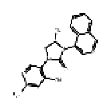 N#Cc1cc(C(F)(F)F)ncc1N1C[C@@H](C#N)N(c2cncc3ccccc23)C1=O